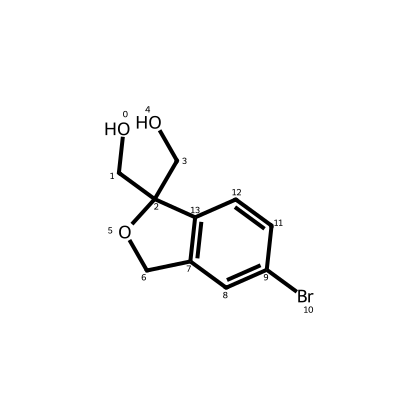 OCC1(CO)OCc2cc(Br)ccc21